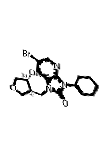 CO[C@H]1COC[C@@H]1Cn1c(=O)n(C2=CCCCC2)c2ncc(Br)cc21